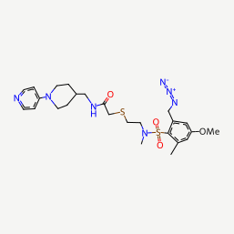 COc1cc(C)c(S(=O)(=O)N(C)CCSCC(=O)NCC2CCN(c3ccncc3)CC2)c(CN=[N+]=[N-])c1